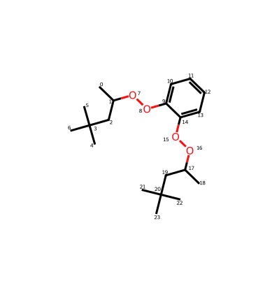 CC(CC(C)(C)C)OOc1ccccc1OOC(C)CC(C)(C)C